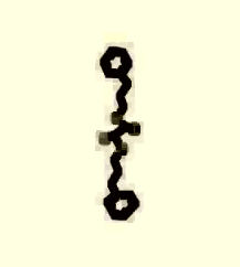 O=C(OCCCc1ccccc1)C(=O)OCCCc1ccccc1